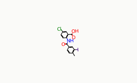 Cc1ccc(C(=O)Nc2ccc(Cl)cc2C(=O)O)cc1I